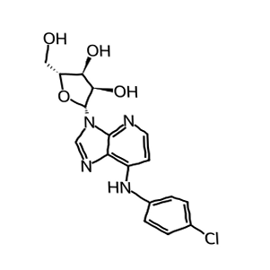 OC[C@H]1O[C@@H](n2cnc3c(Nc4ccc(Cl)cc4)ccnc32)[C@H](O)[C@@H]1O